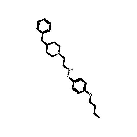 CCCCOc1ccc(SNCCN2CCC(Cc3ccccc3)CC2)cc1